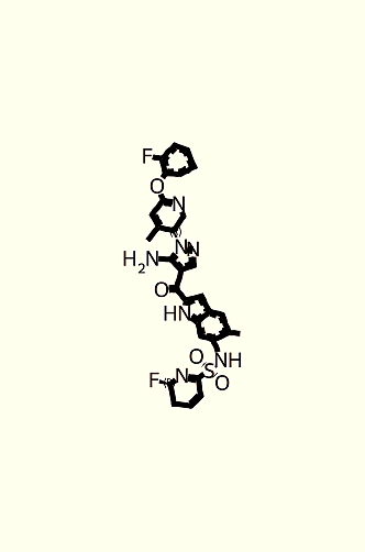 CC1=CC(Oc2ccccc2F)=NC[C@@H]1n1ncc(C(=O)c2cc3cc(C)c(NS(=O)(=O)C4=N[C@H](F)CC=C4)cc3[nH]2)c1N